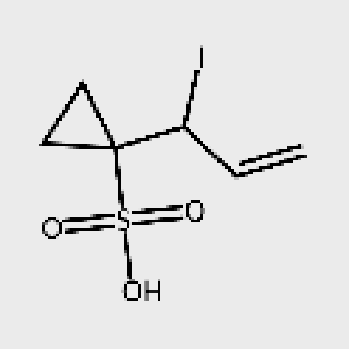 C=CC(I)C1(S(=O)(=O)O)CC1